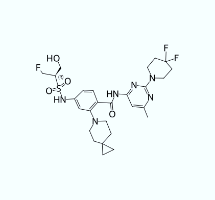 Cc1cc(NC(=O)c2ccc(NS(=O)(=O)[C@H](CO)CF)cc2N2CCC3(CC2)CC3)nc(N2CCC(F)(F)CC2)n1